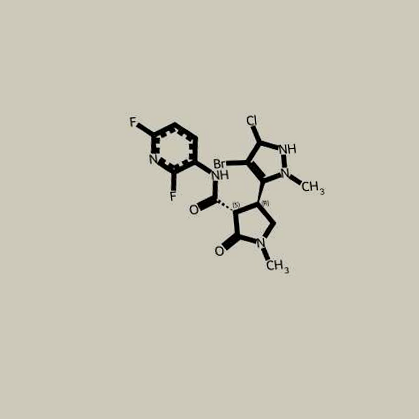 CN1C[C@H](C2=C(Br)C(Cl)NN2C)[C@@H](C(=O)Nc2ccc(F)nc2F)C1=O